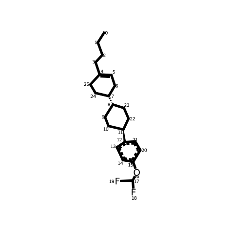 CCCCC1=CCC([C@H]2CC[C@H](c3ccc(OC(F)F)cc3)CC2)CC1